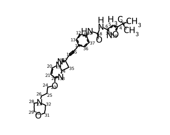 CC(C)(C)c1cc(NC(=O)Nc2ccc(C#CC3=NN4C=CC(OCCCN5CCOCC5)=NC4C3)cc2)no1